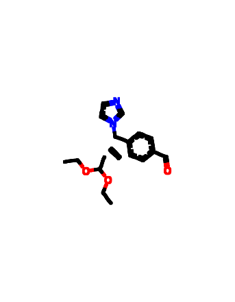 C=C.CCOC(C)OCC.O=Cc1ccc(Cn2ccnc2)cc1